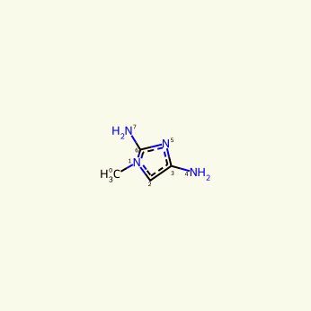 Cn1cc(N)nc1N